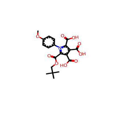 COc1ccc(-n2c(C(=O)O)c(C(=O)O)c(C(=O)O)c2C(=O)OCC(C)(C)C)cc1